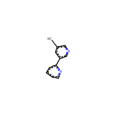 N#Cc1cncc(-c2cc[c]cn2)c1